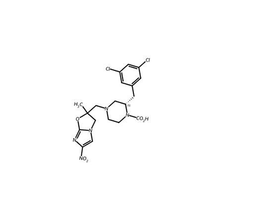 CC1(CN2CCN(C(=O)O)[C@@H](Cc3cc(Cl)cc(Cl)c3)C2)Cn2cc([N+](=O)[O-])nc2O1